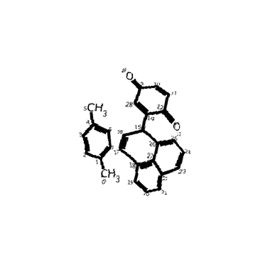 Cc1ccc(C)cc1.O=C1C=CC(=O)C(C2C=Cc3cccc4cccc2c34)=C1